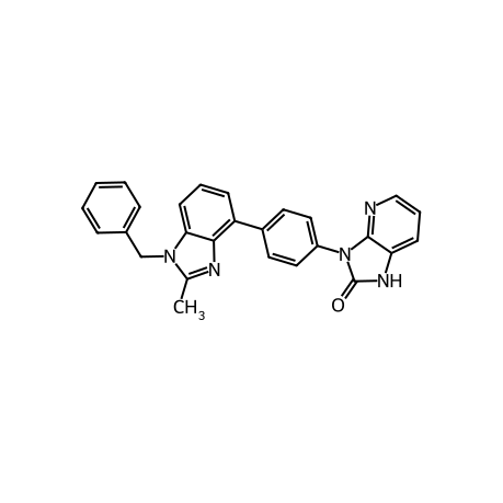 Cc1nc2c(-c3ccc(-n4c(=O)[nH]c5cccnc54)cc3)cccc2n1Cc1ccccc1